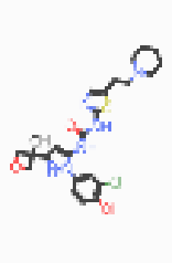 CC1(c2cc(NC(=O)Nc3ncc(CCN4CCCCC4)s3)n(-c3ccc(O)c(Cl)c3)n2)COC1